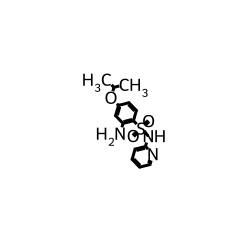 CC(C)Oc1ccc(S(=O)(=O)Nc2ccccn2)c(N)c1